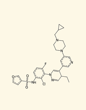 CCC1C=NN(c2c(F)ccc(NS(=O)(=O)c3ccoc3)c2Cl)C=C1c1cncc(N2CCN(CC3CC3)CC2)c1